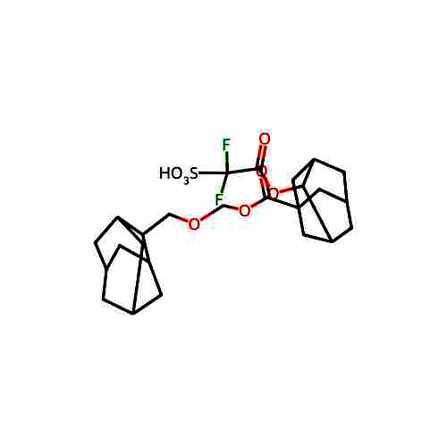 O=C(OCOCC1C2CC3CC(C2)CC1C3)C12CC3CC(C1)C(OC(=O)C(F)(F)S(=O)(=O)O)C(C3)C2